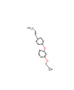 O=C(O)/C=C/c1ccc(Oc2cccc(OCC3CC3)c2)cc1